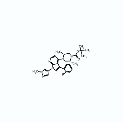 C[C@@H]1CN(c2ncnc3c2c(-c2ccccc2F)cn3-c2cnn(C)c2)[C@@H](C)CN1C(=O)OC(C)(C)C